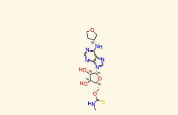 CNC(=S)OC[C@H]1O[C@@H](n2cnc3c(N[C@@H]4CCOC4)ncnc32)[C@H](O)[C@@H]1O